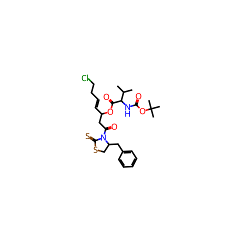 CC(C)C(NC(=O)OC(C)(C)C)C(=O)OC(C=CCCCl)CC(=O)N1C(=S)SCC1Cc1ccccc1